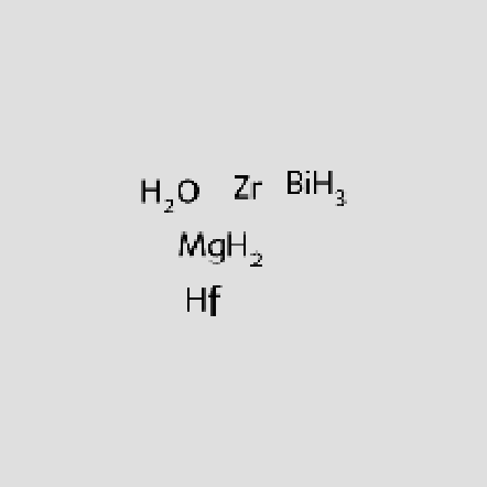 O.[BiH3].[Hf].[MgH2].[Zr]